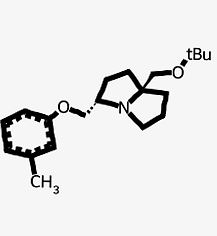 Cc1cccc(OC[C@@H]2CC[C@]3(COC(C)(C)C)CCCN23)c1